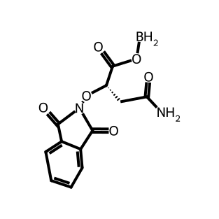 BOC(=O)[C@H](CC(N)=O)ON1C(=O)c2ccccc2C1=O